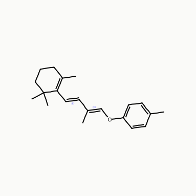 CC1=C(/C=C/C(C)=C/Oc2ccc(C)cc2)C(C)(C)CCC1